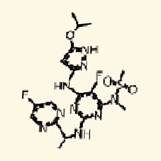 CC(C)Oc1cc(Nc2nc(N[C@@H](C)c3ncc(F)cn3)nc(N(C)S(C)(=O)=O)c2F)n[nH]1